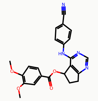 COc1ccc(C(=O)OC2CCc3ncnc(Nc4ccc(C#N)cc4)c32)cc1OC